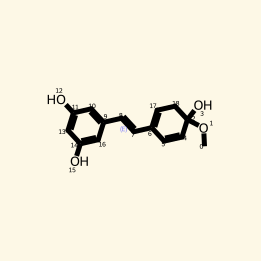 COC1(O)C=CC(/C=C/c2cc(O)cc(O)c2)=CC1